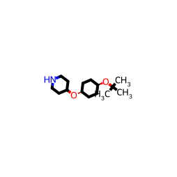 CC(C)(C)O[C@H]1CC[C@H](OC2CCNCC2)CC1